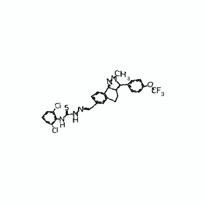 CN1N=C2c3ccc(/C=N/NC(=S)Nc4c(Cl)cccc4Cl)cc3CCC2C1c1ccc(OC(F)(F)F)cc1